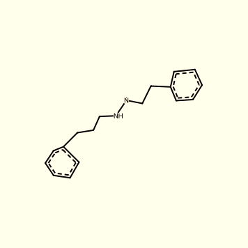 c1ccc(CCCN[N]CCc2ccccc2)cc1